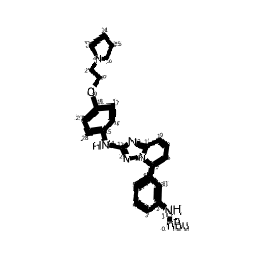 CCCCNc1cccc(-c2cccc3nc(Nc4ccc(OCCN5CCCC5)cc4)nn23)c1